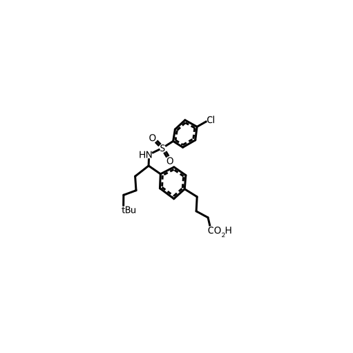 CC(C)(C)CCCC(NS(=O)(=O)c1ccc(Cl)cc1)c1ccc(CCCC(=O)O)cc1